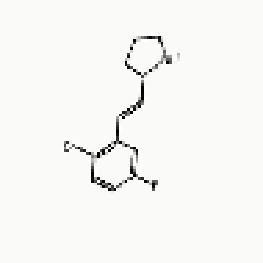 Fc1ccc(Br)c(/C=C/[C@H]2CCCN2)c1